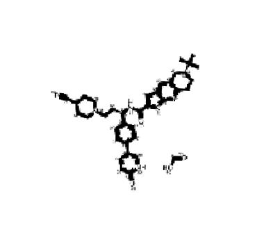 CC(C)(C)[C@H]1CCc2nc3sc(C(=O)N[C@H](CCN4CCC(C#N)CC4)c4ccc(-c5ccc(=O)[nH]c5)cc4)cc3cc2C1.O=CO